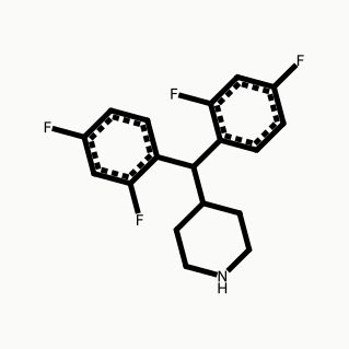 Fc1ccc(C(c2ccc(F)cc2F)C2CCNCC2)c(F)c1